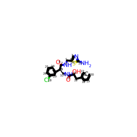 Nc1ncc(CNC(=O)[C@@H](CNC(=O)[C@H](O)Cc2ccccc2)c2cccc(Cl)c2)s1